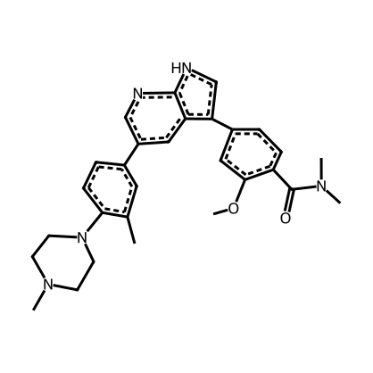 COc1cc(-c2c[nH]c3ncc(-c4ccc(N5CCN(C)CC5)c(C)c4)cc23)ccc1C(=O)N(C)C